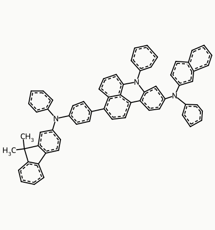 CC1(C)c2ccccc2-c2ccc(N(c3ccccc3)c3ccc(-c4ccc5c6c(cccc46)N(c4ccccc4)c4cc(N(c6ccccc6)c6ccc7ccccc7c6)ccc4-5)cc3)cc21